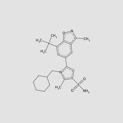 Cc1noc2c(C(C)(C)C)cc(-c3cc(S(N)(=O)=O)c(C)n3CC3CCCCC3)cc12